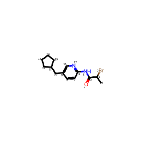 CC(Br)C(=O)Nc1ccc(CC2CCCC2)cn1